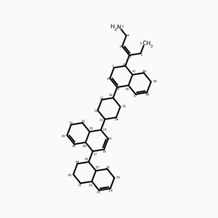 CC/C(=C\CN)C1CC=C(C2CCC(C3C=CC(C4CCCC5C=CCCC54)C4C=CCCC34)CC2)C2C=CCCC21